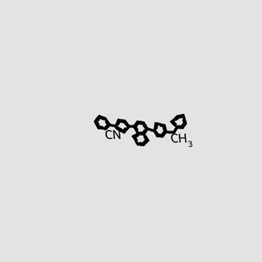 CC(c1ccccc1)c1ccc(-c2ccc(-c3ccc(-c4ccccc4C#N)cc3)c3ccccc23)cc1